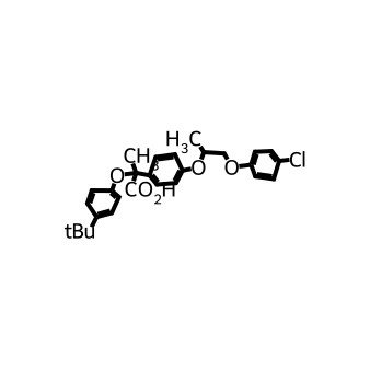 CC(COc1ccc(Cl)cc1)Oc1ccc(C(C)(Oc2ccc(C(C)(C)C)cc2)C(=O)O)cc1